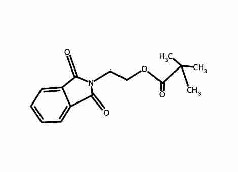 CC(C)(C)C(=O)OC[CH]N1C(=O)c2ccccc2C1=O